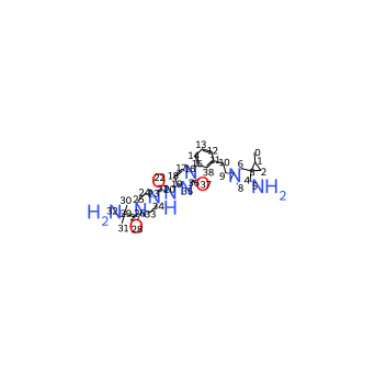 CC1CC1(CN)CN(C)CCc1cccc(-n2ccc(NC(=O)N3CCN(C(=O)C(C)(C)N)CC3)nc2=O)c1